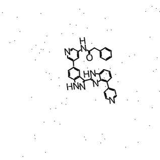 O=C(Cc1ccccc1)Nc1cncc(-c2ccc3[nH]nc(-c4nc5c(-c6ccncc6)cccc5[nH]4)c3c2)c1